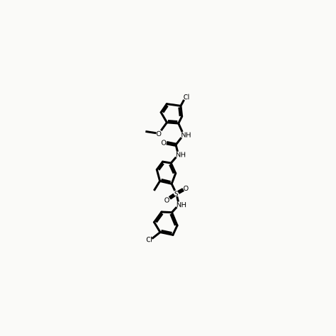 COc1ccc(Cl)cc1NC(=O)Nc1ccc(C)c(S(=O)(=O)Nc2ccc(Cl)cc2)c1